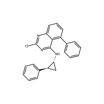 Clc1nc(N[C@@H]2C[C@H]2c2ccccc2)c2c(-c3ccccc3)cccc2n1